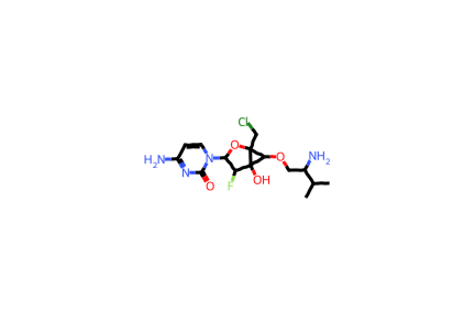 CC(C)C(N)COC1C2(CCl)OC(n3ccc(N)nc3=O)C(F)C12O